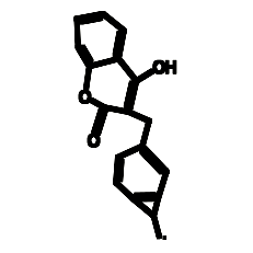 [CH2]C1c2ccc(Cc3c(O)c4ccccc4oc3=O)cc21